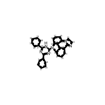 c1ccc(C2=NC(n3c4cccc5c4c4c3cccc4n3ccnc53)NC(c3ccccc3)=N2)cc1